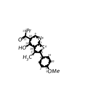 COc1ccc(-c2sc3ncc(C(=O)C(C)C)c(O)c3c2C)cc1